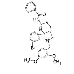 COc1ccc(CN2CC3CSC(NC(=O)c4ccccc4)=NC3(c3cccc(Br)c3)C2)c(OC)c1